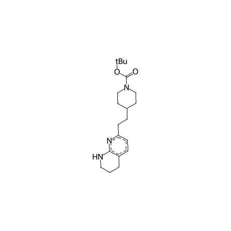 CC(C)(C)OC(=O)N1CCC(CCc2ccc3c(n2)NCCC3)CC1